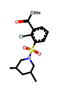 COC(=O)c1cccc(S(=O)(=O)N2CC(C)CC(C)C2)c1Cl